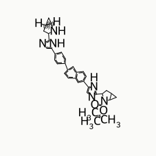 CC(C)(C)OC(=O)N1C(c2ncc(-c3ccc4cc(-c5ccc(-c6cnc(C7C[C@@H]8C[C@H]8N7)[nH]6)cc5)ccc4c3)[nH]2)CC2CC21